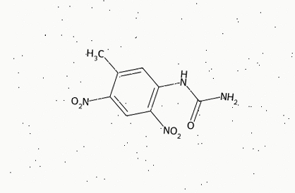 Cc1cc(NC(N)=O)c([N+](=O)[O-])cc1[N+](=O)[O-]